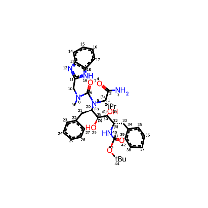 CC(C)[C@@H](C(N)=O)N(C(=O)N(C)Cc1nc2ccccc2[nH]1)[C@H](Cc1ccccc1)[C@H](O)[C@H](O)[C@H](Cc1ccccc1)NC(=O)OC(C)(C)C